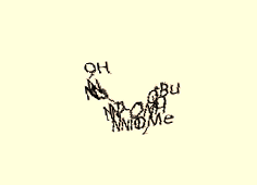 COc1cc(-c2cc(-c3cnn(CCO)c3)n3ncnc(N)c23)ccc1NC(=O)OC(C)(C)C